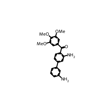 COc1cc(C(=O)c2ccc(-c3cccc(N)c3)cc2N)cc(OC)c1OC